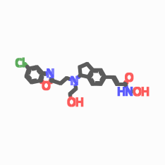 O=C(C=Cc1ccc2c(c1)CCC2N(CCO)CCc1nc2cc(Cl)ccc2o1)NO